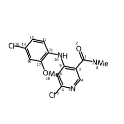 CNC(=O)c1cnc(Cl)cc1Nc1ccc(Cl)cc1OC